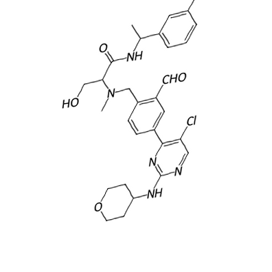 COc1cccc(C(C)NC(=O)C(CO)N(C)Cc2ccc(-c3nc(NC4CCOCC4)ncc3Cl)cc2C=O)c1